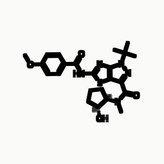 COc1ccc(C(=O)Nc2nc3c(s2)c(C(=O)N(C)[C@@H]2CCC[C@H]2O)nn3C(C)(C)C)cc1